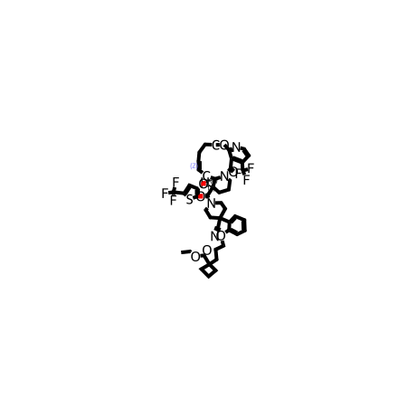 CCOC(=O)C1(CCCOc2ccccc2C2(C#N)CCN(C(=O)[C@]3(Oc4csc(C(F)(F)F)c4)CCCN4C(=O)c5c(C(F)(F)F)ccnc5OCCC/C=C\C[C@@H]43)CC2)CCC1